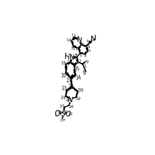 CC(C)c1c(-c2ccc(C#N)c3ncccc23)[nH]c2ccc(C3CCN(CCS(C)(=O)=O)CC3)cc12